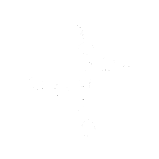 N#Cc1ccc(N(c2ccc(C#N)cc2)c2cc3c4c(c2)Oc2cc(-c5ccccc5)ccc2B4c2ccc(-c4ccccc4)cc2O3)cc1